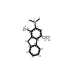 CN(C)c1ccc2c([c]1[Zr+2])Cc1ccccc1-2.[Cl-].[Cl-]